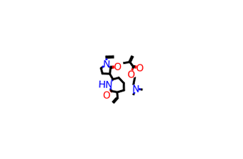 C=C(C)C(=O)OCCN(C)C.C=CC1CCCC(C2CCN(C=C)C2=O)NC1=O